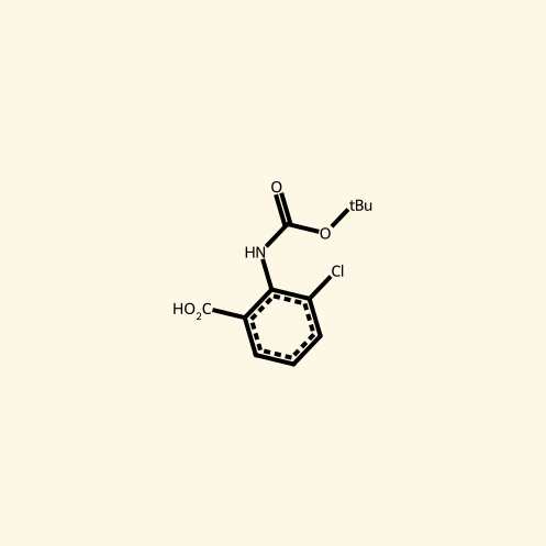 CC(C)(C)OC(=O)Nc1c(Cl)cccc1C(=O)O